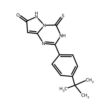 CC(C)(C)c1ccc(-c2nc3cc(=O)[nH]n3c(=S)[nH]2)cc1